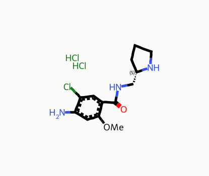 COc1cc(N)c(Cl)cc1C(=O)NC[C@@H]1CCCN1.Cl.Cl